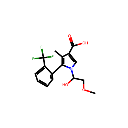 COCC(O)n1cc(C(=O)O)c(C)c1-c1ccccc1C(F)(F)F